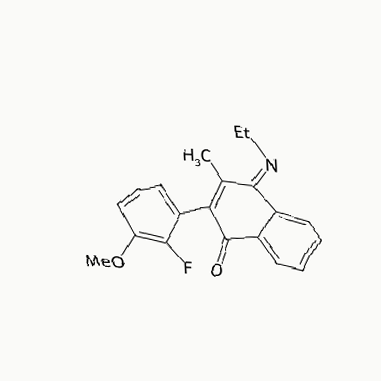 CC/N=C1\C(C)=C(c2cccc(OC)c2F)C(=O)c2ccccc21